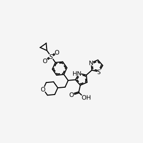 O=C(O)c1cc(-c2nccs2)[nH]c1C(CC1CCOCC1)c1ccc(S(=O)(=O)C2CC2)cc1